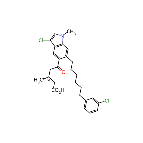 C[C@H](CC(=O)O)CC(=O)c1cc2c(Cl)cn(C)c2cc1CCCCCCc1cccc(Cl)c1